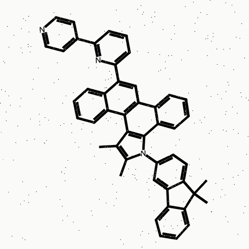 Cc1c(C)n(-c2ccc3c(c2)-c2ccccc2C3(C)C)c2c3ccccc3c3cc(-c4cccc(-c5ccncc5)n4)c4ccccc4c3c12